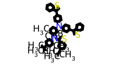 Cc1cc2c3c(c1)N(c1c(C)cc(C(C)(C)C)cc1C)c1c(sc4ccc(C(C)(C)C)cc14)B3c1cc(-c3csc4ccccc34)ccc1N2c1ccc(-c2csc3ccccc23)cc1